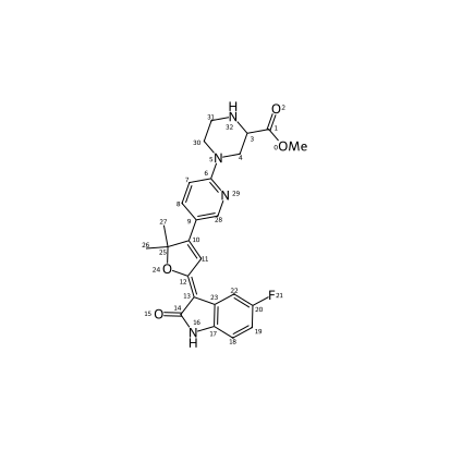 COC(=O)C1CN(c2ccc(C3=CC(=C4C(=O)Nc5ccc(F)cc54)OC3(C)C)cn2)CCN1